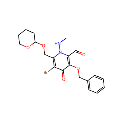 CNn1c(C=O)c(OCc2ccccc2)c(=O)c(Br)c1COC1CCCCO1